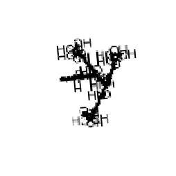 CCCCCCNC(=O)CCCC(=O)NC(CCC(=O)NC(CCC(=O)NCCCCCCO[C@H]1O[C@H](CO)[C@@H](O)[C@H](O)[C@@H]1O)C(=O)NCCCCCCO[C@H]1O[C@H](CO)[C@@H](O)[C@H](O)[C@@H]1O)C(=O)NCCCCCCO[C@H]1O[C@H](CO)[C@@H](O)[C@H](O)[C@@H]1O